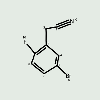 N#CCc1cc(Br)ccc1F